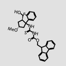 CO[C@@H]1C[C@@H](CO)C(NC(=S)NC(=O)OCC2c3ccccc3-c3ccccc32)(c2ccccc2F)C1